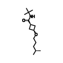 CC(C)CCCO[C@H]1C[C@@H](C(=O)NC(C)(C)C)C1